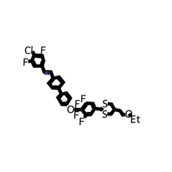 CCOCCC1CSC(c2cc(F)c(C(F)(F)Oc3ccc(-c4ccc(/C=C/c5cc(F)c(Cl)c(F)c5)cc4)cc3)c(F)c2)SC1